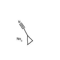 N.N#CC1CC1